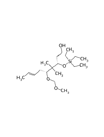 C/C=C/C[C@@H](OCOC)C(C)(C)[C@H](CCO)O[Si](CC)(CC)CC